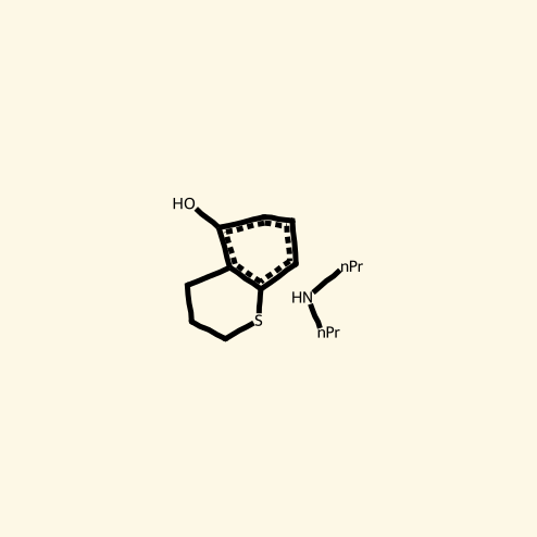 CCCNCCC.Oc1cccc2c1CCCS2